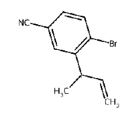 C=C[C](C)c1cc(C#N)ccc1Br